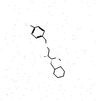 N#Cc1ccc(CNC[C@H](O)[C@H](CC2CCCCC2)NC(=O)O)cc1